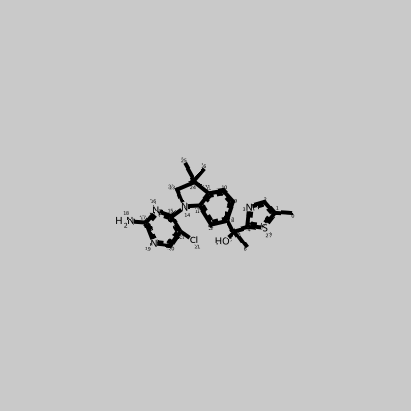 Cc1cnc(C(C)(O)c2ccc3c(c2)N(c2nc(N)ncc2Cl)CC3(C)C)s1